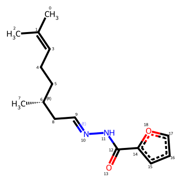 CC(C)=CCC[C@@H](C)C/C=N/NC(=O)c1ccco1